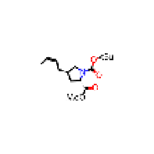 C/C=C\C[C@@H]1C[C@@H](C(=O)OC)N(C(=O)OC(C)(C)C)C1